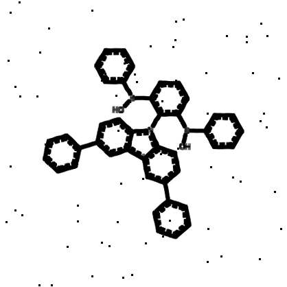 OB(c1ccccc1)c1cccc(B(O)c2ccccc2)c1-n1c2ccc(-c3ccccc3)cc2c2cc(-c3ccccc3)ccc21